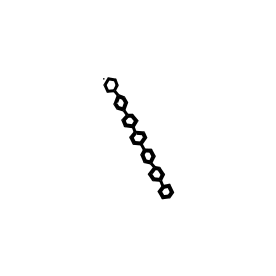 [CH]1CCC(c2ccc(-c3ccc(-c4ccc(-c5ccc(-c6ccc(-c7ccccc7)cc6)cc5)cc4)cc3)cc2)CC1